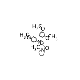 COc1ccc(-n2c(-c3ccc(OC)cc3OC)cc(C(=O)N3CCCCC3)c2C)cc1